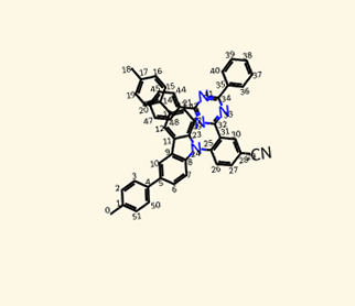 Cc1ccc(-c2ccc3c(c2)c2cc(-c4ccc(C)cc4)ccc2n3-c2ccc(C#N)cc2-c2nc(-c3ccccc3)nc(-c3ccccc3)n2)cc1